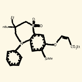 CCCCC1(CC)CN(c2ccccc2)c2cc(SC)c(O/C=C\C(=O)OCC)cc2S(=O)(=O)C1